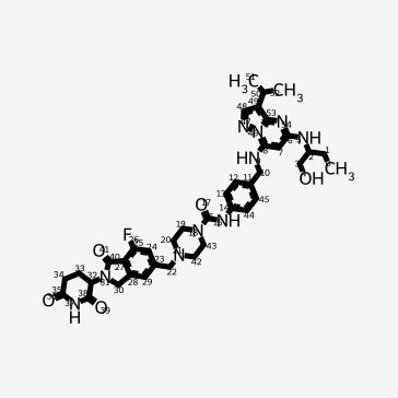 CCC(CO)Nc1cc(NCc2ccc(NC(=O)N3CCN(Cc4cc(F)c5c(c4)CN(C4CCC(=O)NC4=O)C5=O)CC3)cc2)n2ncc(C(C)C)c2n1